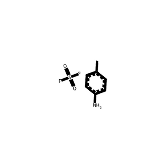 Cc1ccc(N)cc1.O=S(=O)(F)F